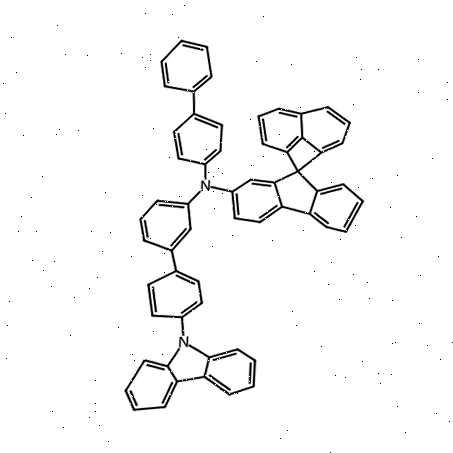 c1ccc(-c2ccc(N(c3cccc(-c4ccc(-n5c6ccccc6c6ccccc65)cc4)c3)c3ccc4c(c3)C3(c5ccccc5-4)c4cccc5cccc3c45)cc2)cc1